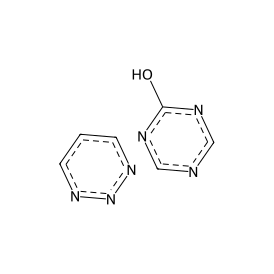 Oc1ncncn1.c1cnnnc1